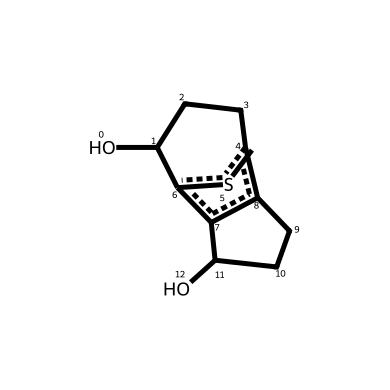 OC1CCc2sc1c1c2CCC1O